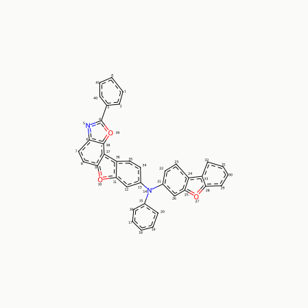 c1ccc(-c2nc3ccc4oc5cc(N(c6ccccc6)c6ccc7c(c6)oc6ccccc67)ccc5c4c3o2)cc1